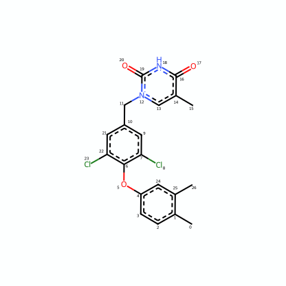 Cc1ccc(Oc2c(Cl)cc(Cn3cc(C)c(=O)[nH]c3=O)cc2Cl)cc1C